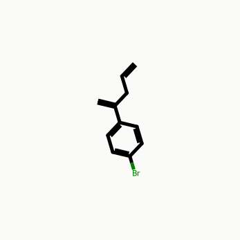 C=CCC(=C)c1ccc(Br)cc1